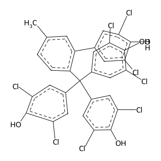 Cc1ccc(C(c2cc(Cl)c(O)c(Cl)c2)(c2cc(Cl)c(O)c(Cl)c2)c2cc(Cl)c(O)c(Cl)c2)c(-c2cc(Cl)c(O)c(Cl)c2)c1